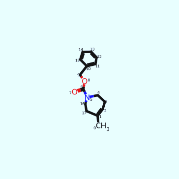 CC1=CCCN(C(=O)OCc2ccccc2)CC1